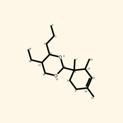 CCCC1OC(C2(C)CCC(C)=CC2C)OCC1CC